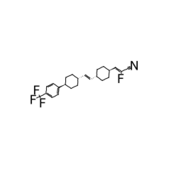 N#CC(F)=C[C@H]1CC[C@H](/C=C/[C@H]2CC[C@H](c3ccc(C(F)(F)F)cc3)CC2)CC1